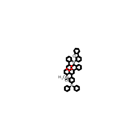 C[Si]1(C)c2cc(N(c3ccccc3)c3ccccc3)ccc2-c2cc3c4ccccc4c(N(c4ccccc4-c4ccccc4)c4cccc5c4oc4ccccc45)cc3c3cccc1c23